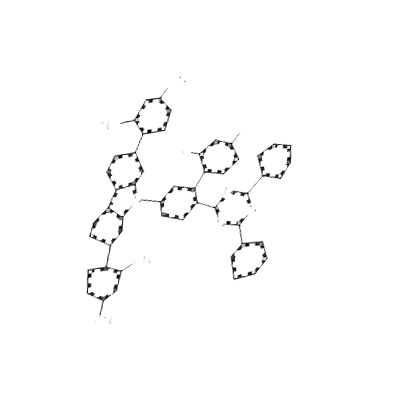 N#Cc1ccc(-c2ccc3c4ccc(-c5ccc(C#N)cc5C#N)cc4n(-c4ccc(-c5nc(-c6ccccc6)nc(-c6ccccc6)n5)c(-c5ccc(C(F)(F)F)cc5C(F)(F)F)c4)c3c2)c(C#N)c1